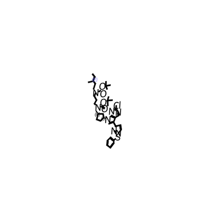 C/C=C(\C)CCN(CCCN(C[C@@H]1CC[C@H](n2cc(-c3ccn(Sc4ccccc4)n3)c3cnc(Cl)nc32)C1)C(=O)OC(C)(C)C)C(=O)OC(C)(C)C